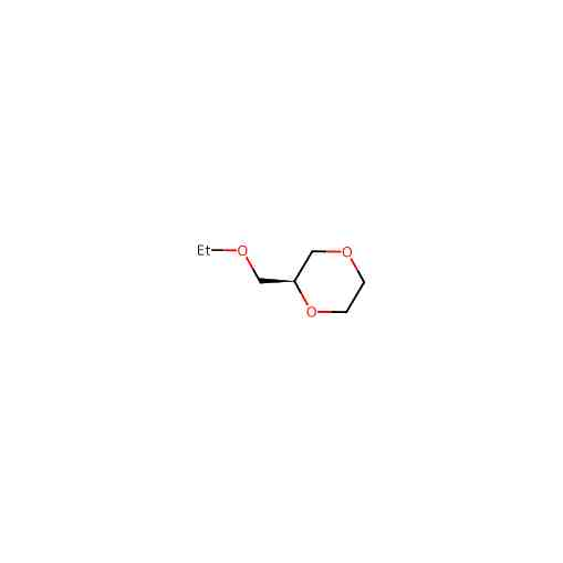 CCOC[C@H]1COCCO1